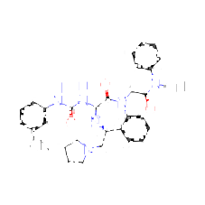 CN(C(=O)CN1C(=O)C(NC(=O)Nc2cccc(C#N)c2)N=C(CN2CCCC2)c2ccccc21)c1ccccc1